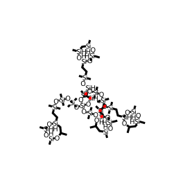 CC1C[SiH](CC[Si](C)(C)O[Si](C)(C)O[Si](C)(C)O[Si](O[SiH2]O[SiH2]O[Si](C)(C)CC[SiH]2O[SiH](C)C[SiH](C)O[SiH](C)O2)(O[Si](C)(C)O[Si](C)(C)O[Si](C)(C)CC[SiH]2OC(C)C[SiH](C)O[SiH](C)O2)O[Si](C)(C)O[Si](C)(C)O[Si](C)(C)CC[SiH]2OC(C)C[SiH](C)O[SiH](C)O2)O[SiH](C)O[SiH](C)O1